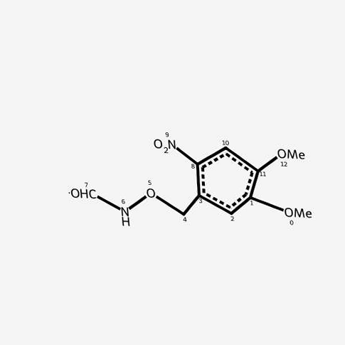 COc1cc(CON[C]=O)c([N+](=O)[O-])cc1OC